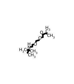 CCC(C)(C)NCCOCCOCC(=O)C(C)C